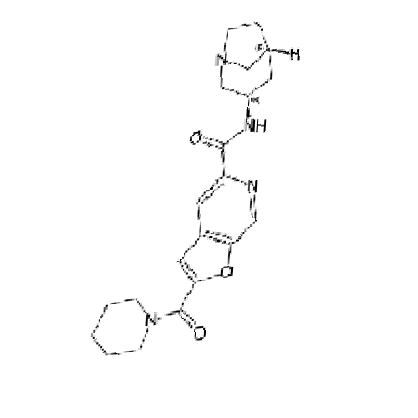 O=C(N[C@@H]1C[C@H]2CCN(C2)C1)c1cc2cc(C(=O)N3CCCCC3)oc2cn1